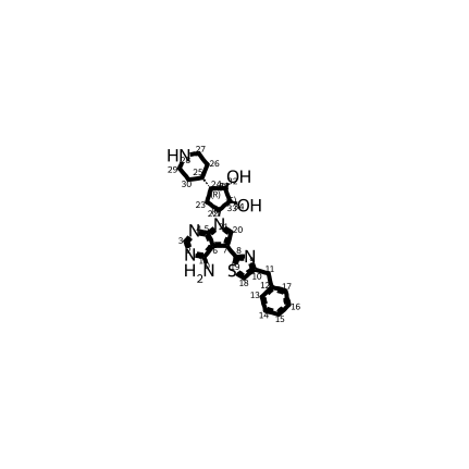 Nc1ncnc2c1c(-c1nc(Cc3ccccc3)cs1)cn2[C@@H]1C[C@H](C2CCNCC2)[C@@H](O)[C@H]1O